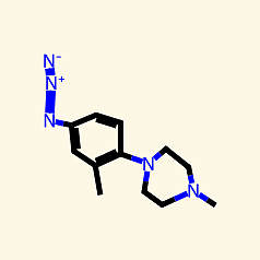 Cc1cc(N=[N+]=[N-])ccc1N1CCN(C)CC1